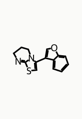 C1=C(c2coc3ccccc23)N2CCCN=C2S1